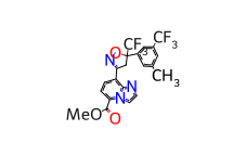 COC(=O)c1ccc(C2=NOC(c3cc(C)cc(C(F)(F)F)c3)(C(F)(F)F)C2)c2nccn12